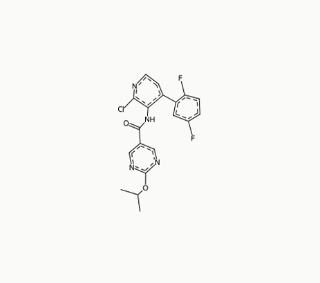 CC(C)Oc1ncc(C(=O)Nc2c(-c3cc(F)ccc3F)ccnc2Cl)cn1